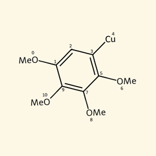 COc1c[c]([Cu])c(OC)c(OC)c1OC